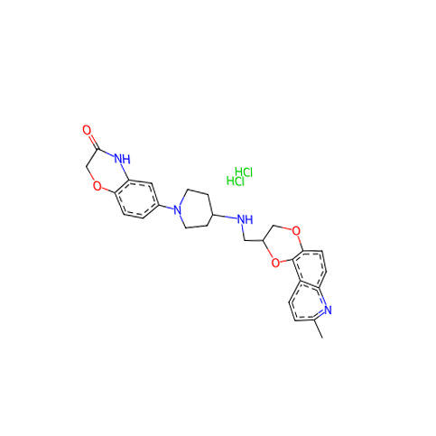 Cc1ccc2c3c(ccc2n1)OCC(CNC1CCN(c2ccc4c(c2)NC(=O)CO4)CC1)O3.Cl.Cl